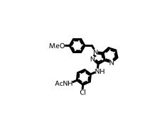 COc1ccc(Cn2nc(Nc3ccc(NC(C)=O)c(Cl)c3)c3ncccc32)cc1